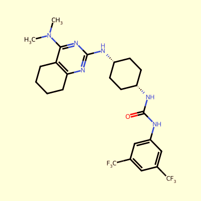 CN(C)c1nc(N[C@H]2CC[C@@H](NC(=O)Nc3cc(C(F)(F)F)cc(C(F)(F)F)c3)CC2)nc2c1CCCC2